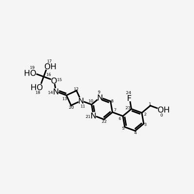 OCc1cccc(-c2cnc(N3CC(=NOC(O)(O)O)C3)nc2)c1F